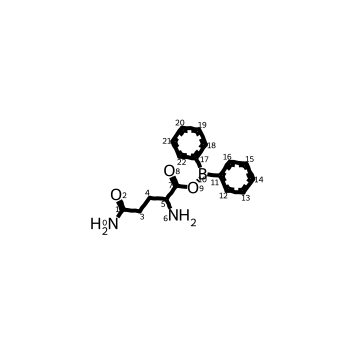 NC(=O)CCC(N)C(=O)OB(c1ccccc1)c1ccccc1